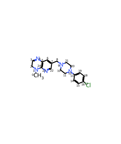 CN1CC=Nc2cc(CN3CCN(c4ccc(Cl)cc4)CC3)cnc21